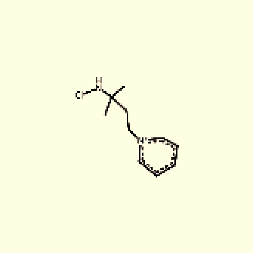 CC(C)(CC[n+]1ccccc1)NCl